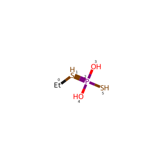 CC[SH]=P(O)(O)S